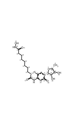 C[C@H]1O[C@@H](n2cc(F)c(NC(=O)SCCCCCCCC(=O)NO)nc2=O)[C@H](O)[C@@H]1O